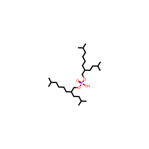 CC(C)CCCCC(CCC(C)C)COP(=O)(O)OCC(CCCCC(C)C)CCC(C)C